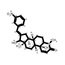 CN1C(=O)C=C[C@@]2(C)C1CC[C@@H]1[C@H]2CC[C@]2(C)C(O)C(=Cc3cccc([N+](=O)[O-])c3)C[C@@H]12